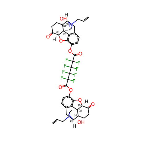 C=CCN1CC[C@]23c4c5ccc(OC(=O)C(F)(F)C(F)(F)C(F)(F)C(F)(F)C(=O)Oc6ccc7c8c6O[C@H]6C(=O)CC[C@@]9(O)[C@@H](C7)N(CC=C)CC[C@]869)c4O[C@H]2C(=O)CC[C@@]3(O)[C@H]1C5